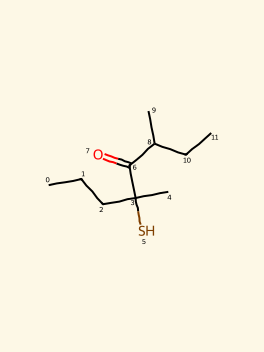 CCCC(C)(S)C(=O)C(C)CC